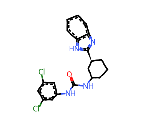 O=C(Nc1cc(Cl)cc(Cl)c1)NC1CCC[C@H](c2nc3ccccc3[nH]2)C1